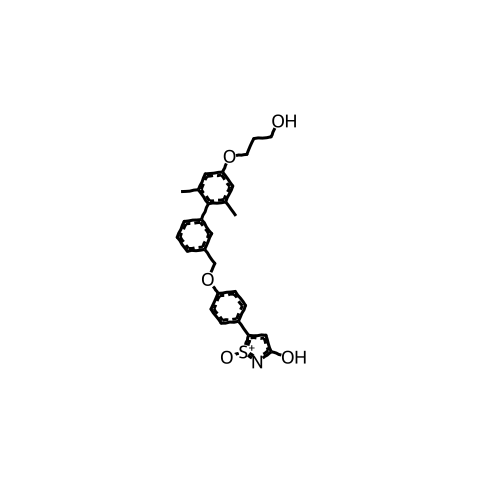 Cc1cc(OCCCO)cc(C)c1-c1cccc(COc2ccc(-c3cc(O)n[s+]3[O-])cc2)c1